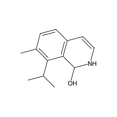 Cc1ccc2c(c1C(C)C)C(O)NC=C2